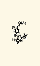 COCCn1ccc(Nc2nc(C3=CC=C3)nc3cn[nH]c23)cc1=O